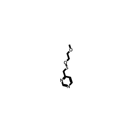 COCCOSCc1ccncn1